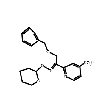 O=C(O)c1ccnc(/C(COCc2ccccc2)=N/OC2CCCCO2)c1